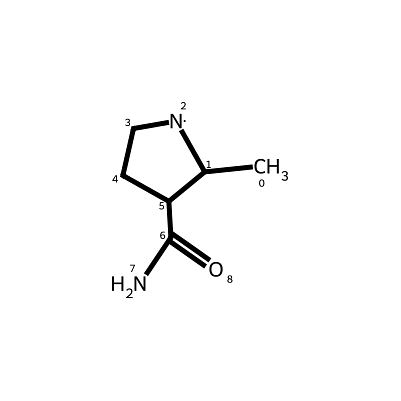 CC1[N]CCC1C(N)=O